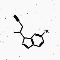 [C-]#[N+]c1ccc2c(c1)C(C(C)CC#C)C=C2